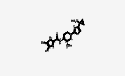 CCOC(=O)C1(c2csc(N3CC[C@@H](NC(=O)c4nc(Cl)c(CC)[nH]4)[C@@H](OC)C3)n2)CC1